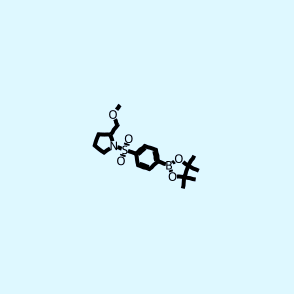 COCC1CCCN1S(=O)(=O)c1ccc(B2OC(C)(C)C(C)(C)O2)cc1